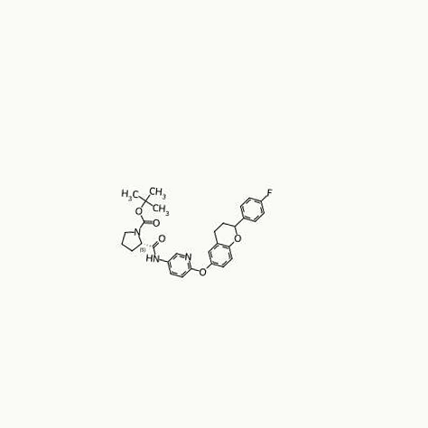 CC(C)(C)OC(=O)N1CCC[C@H]1C(=O)Nc1ccc(Oc2ccc3c(c2)CCC(c2ccc(F)cc2)O3)nc1